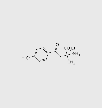 CCOC(=O)C(C)(N)CC(=O)c1ccc(C)cc1